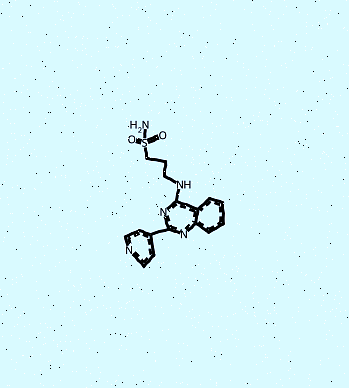 NS(=O)(=O)CCCNc1nc(-c2ccncc2)nc2ccccc12